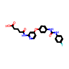 O=C(O)CCCC(=O)Nc1cc(Oc2ccc(NC(=O)Nc3ccc(F)cc3)cc2)ccn1